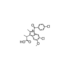 COc1cc2c(C(C)C(=O)O)c(C)n(C(=O)c3ccc(Cl)cc3)c2cc1Cl